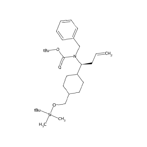 C=CC[C@@H](C1CCC(CO[Si](C)(C)C(C)(C)C)CC1)N(Cc1ccccc1)C(=O)OC(C)(C)C